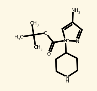 CC(C)(C)OC(=O)[N+]1(C2CCNCC2)C=C(N)C=N1